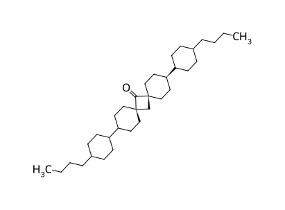 CCCCC1CCC(C2CC[C@]3(CC2)C[C@@]2(CC[C@H](C4CCC(CCCC)CC4)CC2)C3=O)CC1